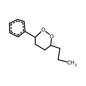 CCCC1CCC(c2ccccc2)OO1